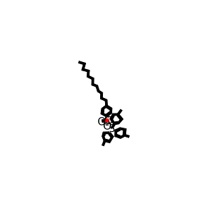 CCCCCCCCCCCCc1ccc(S(=O)(=O)OS(c2ccc(C)cc2)(c2ccc(C)cc2)c2ccc(C)cc2)cc1